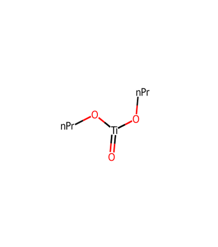 CCC[O][Ti](=[O])[O]CCC